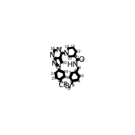 O=C(NCc1ccc(Br)cc1)[C@@H]1CCCN(c2ncnc3nn(-c4ccc(C(F)(F)F)cc4)cc23)C1